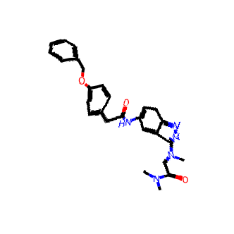 CN(C)C(=O)CN(C)C1=NN=C2CC=C(NC(=O)Cc3ccc(OCc4ccccc4)cc3)C=C21